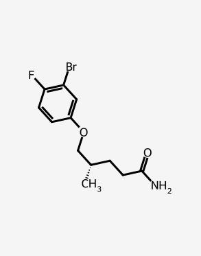 C[C@@H](CCC(N)=O)COc1ccc(F)c(Br)c1